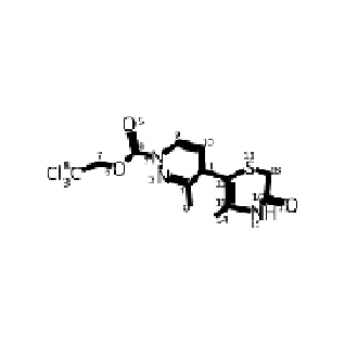 CC1=NN(C(=O)OCC(Cl)(Cl)Cl)C=CC1C1=C(C)NC(=O)CS1